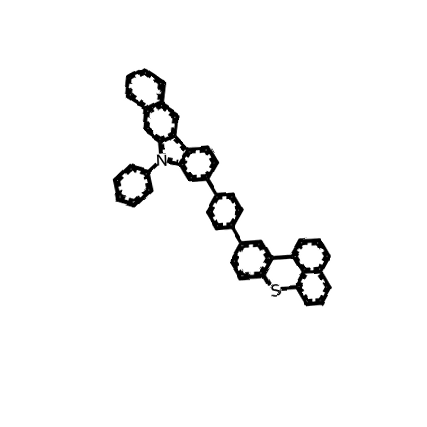 c1ccc(-n2c3cc(-c4ccc(-c5ccc6c(c5)-c5cccc7cccc(c57)S6)cc4)ccc3c3cc4ccccc4cc32)cc1